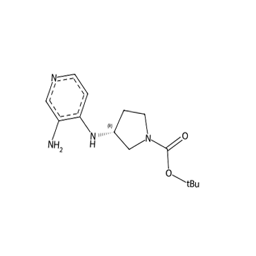 CC(C)(C)OC(=O)N1CC[C@@H](Nc2ccncc2N)C1